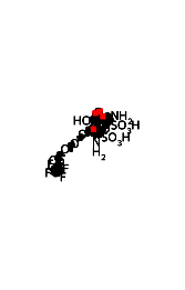 Nc1ccc2c(c1S(=O)(=O)O)Oc1c(ccc(N)c1S(=O)(=O)O)C21c2ccccc2C(O)N1OCCOCCOCCOCCC(=O)Oc1c(F)c(F)cc(F)c1F